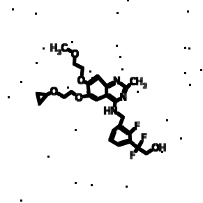 COCCOc1cc2nc(C)nc(NCc3cccc(C(F)(F)CO)c3F)c2cc1OCCOC1CC1